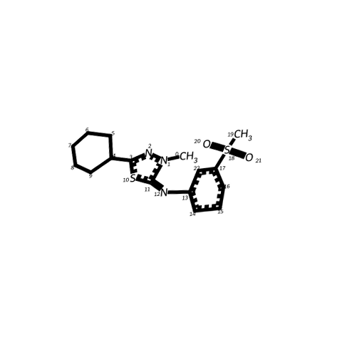 Cn1nc(C2CCCCC2)s/c1=N/c1cccc(S(C)(=O)=O)c1